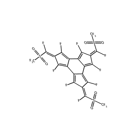 O=S(=O)(C(F)=C1C(F)=c2c3c(c4c(c2=C1F)=C(F)C(=C(F)S(=O)(=O)C(F)(F)F)C=4F)=C(F)C(=C(F)S(=O)(=O)C(F)(F)F)C=3F)C(F)(F)F